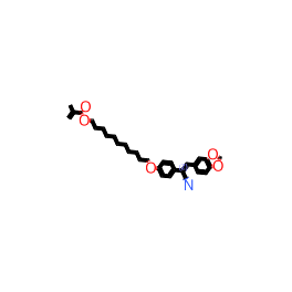 C=C(C)C(=O)OCCCCCCCCCCCOc1ccc(/C(C#N)=C/c2ccc3c(c2)OCO3)cc1